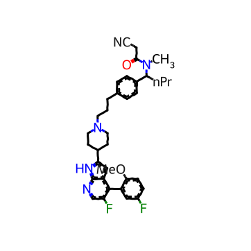 CCCC(c1ccc(CCCN2CCC(c3cc4c(-c5cc(F)ccc5OC)c(F)cnc4[nH]3)CC2)cc1)N(C)C(=O)CC#N